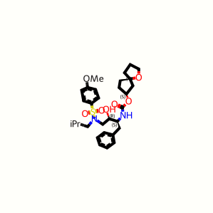 COc1ccc(S(=O)(=O)N(CC(C)C)C[C@@H](O)[C@H](Cc2ccccc2)NC(=O)O[C@H]2CC[C@]3(CCCO3)C2)cc1